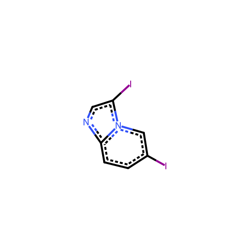 Ic1ccc2ncc(I)n2c1